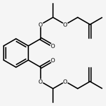 C=C(C)COC(C)OC(=O)c1ccccc1C(=O)OC(C)OCC(=C)C